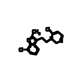 Cc1oc2c(Cl)cccc2c1CCN1CN=CC=C1Cl